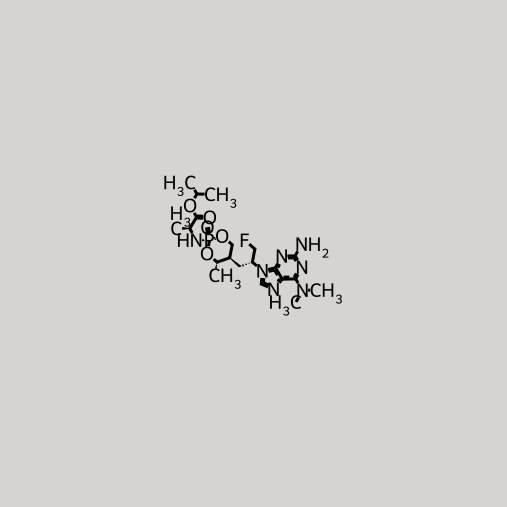 CC(C)OC(=O)[C@H](C)N[P@]1(=O)OC[C@@H](C[C@H](CF)n2cnc3c(N(C)C)nc(N)nc32)[C@H](C)O1